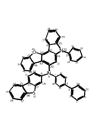 c1ccc(-c2ccc(N(c3ccc4c(c3)sc3ccccc34)c3cc4c(c5ccccc5n4-c4ccccc4)c4oc5ccccc5c34)cc2)cc1